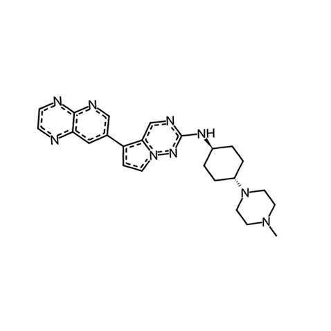 CN1CCN([C@H]2CC[C@H](Nc3ncc4c(-c5cnc6nccnc6c5)ccn4n3)CC2)CC1